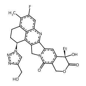 CC[C@@]1(O)C(=O)OCc2c1cc1n(c2=O)Cc2c-1nc1cc(F)c(C)c3c1c2[C@@H](n1cc(CO)nn1)CC3